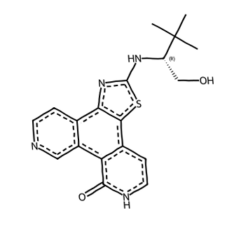 CC(C)(C)[C@H](CO)Nc1nc2c3ccncc3c3c(=O)[nH]ccc3c2s1